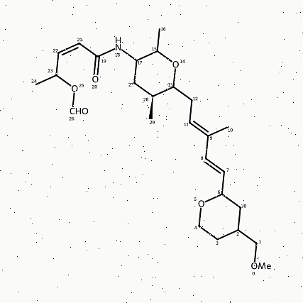 COCC1CCOC(/C=C/C(C)=C/CC2OC(C)C(NC(=O)/C=C\C(C)OC=O)C[C@@H]2C)C1